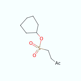 CC(=O)CCS(=O)(=O)OC1CCCCC1